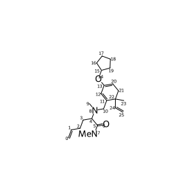 C=CCCC(C(=O)NC)N(C)CC1=CC(OC2CCCC2)=CCC1(C)C=C